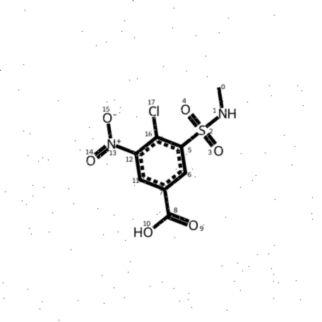 CNS(=O)(=O)c1cc(C(=O)O)cc([N+](=O)[O-])c1Cl